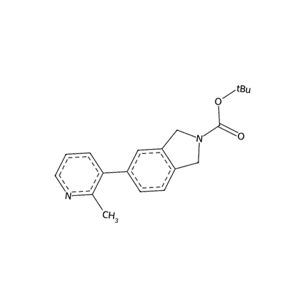 Cc1ncccc1-c1ccc2c(c1)CN(C(=O)OC(C)(C)C)C2